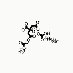 O=C([O-])CC(O)(CC(=O)[O-])C(=O)[O-].O=C([O-])O.O=C([O-])[O-].[Na+].[Na+].[Na+].[Na+].[Na+].[Na+]